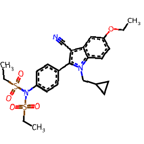 CCOc1ccc2c(c1)c(C#N)c(-c1ccc(N(S(=O)(=O)CC)S(=O)(=O)CC)cc1)n2CC1CC1